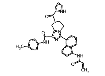 C=CC(=O)Nc1cccc2c(-c3nc(C(=O)Nc4ccc(C)cc4)c4n3CCN(C(=O)c3ccc[nH]3)C4)cccc12